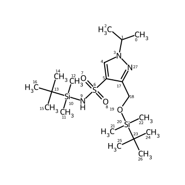 CC(C)n1cc(S(=O)(=O)N[Si](C)(C)C(C)(C)C)c(CO[Si](C)(C)C(C)(C)C)n1